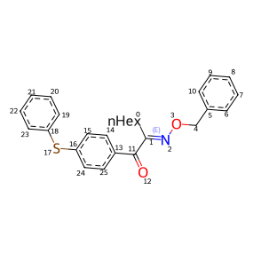 CCCCCC/C(=N\OCc1ccccc1)C(=O)c1ccc(Sc2ccccc2)cc1